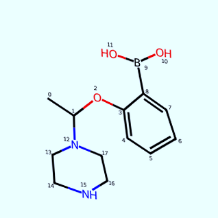 CC(Oc1ccccc1B(O)O)N1CCNCC1